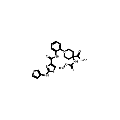 COC(=O)C1(NC(=O)OC(C)(C)C)CCN(c2ccccc2NC(=O)c2csc(Nc3ccsc3)n2)CC1